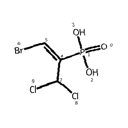 O=P(O)(O)/C(=C/Br)C(Cl)Cl